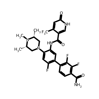 C[C@@H]1CN(c2cc(F)c(-c3ccc(C(N)=O)c(F)c3F)cc2NC(=O)c2c[nH]c(=O)cc2C(F)(F)F)C[C@H](C)N1C